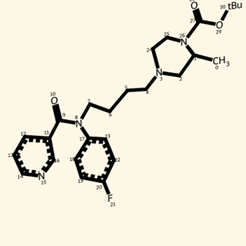 CC1CN(CCCCN(C(=O)c2cccnc2)c2ccc(F)cc2)CCN1C(=O)OC(C)(C)C